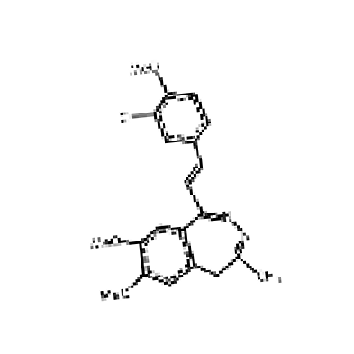 COc1ccc(C=CC2=NN=C(C)Cc3cc(OC)c(OC)cc32)cc1Cl